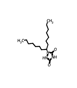 CCCCCCCC(CCCCCCC)n1[nH]c(=O)[nH]c1=O